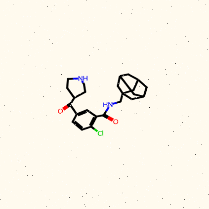 O=C(NCC12CC3CC(CC(C3)C1)C2)c1cc(C(=O)C2CCNCC2)ccc1Cl